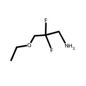 CCOCC(F)(F)CN